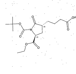 CCOC(=O)[C@@H]1C[C@@H](CCCC(=O)O)C(=O)N1C(=O)OC(C)(C)C